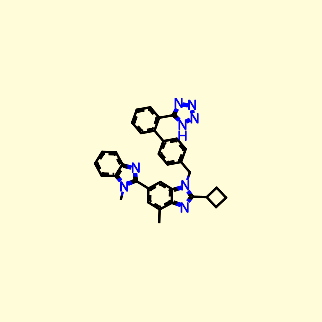 Cc1cc(-c2nc3ccccc3n2C)cc2c1nc(C1CCC1)n2Cc1ccc(-c2ccccc2-c2nnn[nH]2)cc1